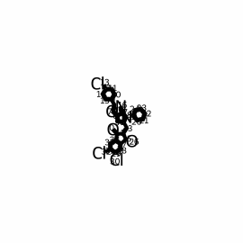 O=C1C(=Cc2cc3oc(-c4ccc(Cl)cc4)nc3n2-c2ccccc2)C(=O)c2cc(Cl)c(Cl)cc21